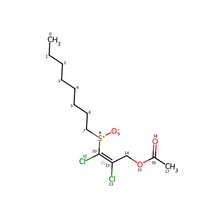 CCCCCCCC[S+]([O-])/C(Cl)=C(/Cl)COC(C)=O